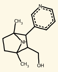 CC12CCC(C)(N1)C(c1cccnc1)C2CO